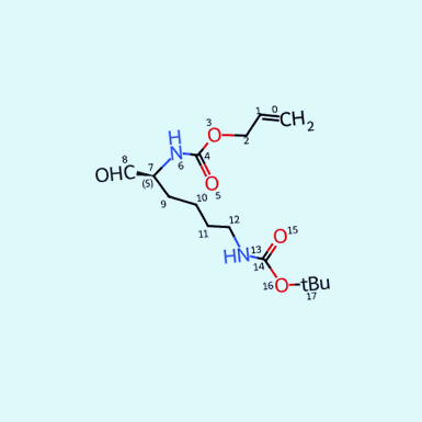 C=CCOC(=O)N[C@H](C=O)CCCCNC(=O)OC(C)(C)C